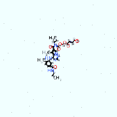 CCCNC(=O)c1ccc(C)c(Nc2ncnn3cc(C(=O)N(CCC)C(=O)OCOC(=O)/C=C/C=O)c(C)c23)c1